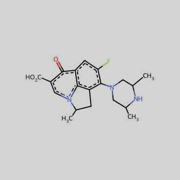 CC1CN(c2c(F)cc3c(=O)c(C(=O)O)cn4c3c2CC4C)CC(C)N1